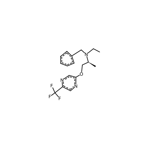 CCN(Cc1ccccc1)[C@@H](C)COc1cnc(C(F)(F)F)cn1